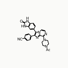 CC(=O)N1CCN(c2nccn3c(-c4ccc5[nH]c(=O)[nH]c5c4)c(-c4ccc(C#N)cc4)nc23)CC1